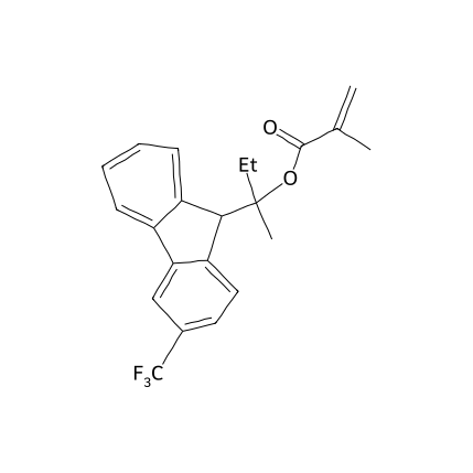 C=C(C)C(=O)OC(C)(CC)C1c2ccccc2-c2cc(C(F)(F)F)ccc21